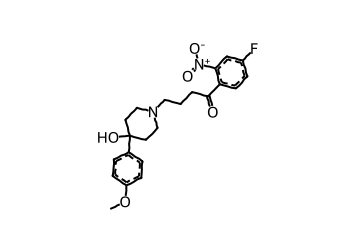 COc1ccc(C2(O)CCN(CCCC(=O)c3ccc(F)cc3[N+](=O)[O-])CC2)cc1